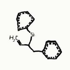 C=CC(Cc1ccccc1)[Si]c1ccccc1